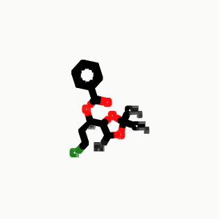 CCC1OC(C)(C)OC1[C@@H](CCCl)OC(=O)c1ccccc1